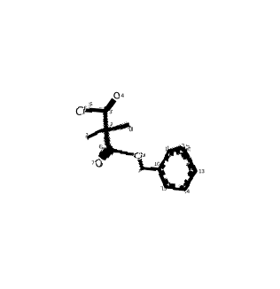 CC(C)(C(=O)Cl)C(=O)OCc1ccccc1